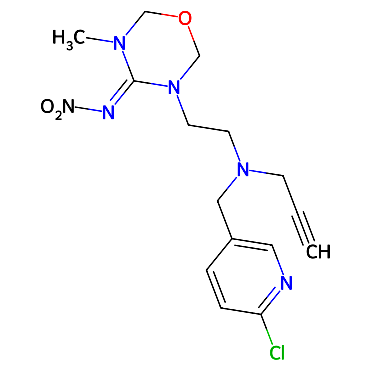 C#CCN(CCN1COCN(C)/C1=N\[N+](=O)[O-])Cc1ccc(Cl)nc1